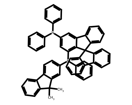 CC1(C)c2ccccc2-c2ccc(N(c3ccccc3)c3cc(N(c4ccccc4)c4ccccc4)cc4c3C3(c5ccccc5-c5ccccc53)c3ccccc3-4)cc21